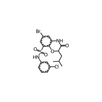 CC(C)CC1Oc2c(cc(Br)cc2S(=O)(=O)Nc2cccc(Cl)c2)NC1=O